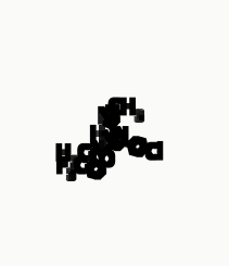 CC(NC(=O)c1cc(-c2ccc(Cl)cc2)nc(-c2cnn(C)c2)n1)c1ccccc1C(F)(F)F